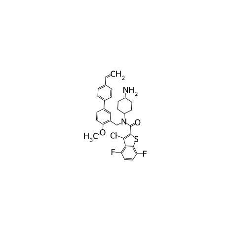 C=Cc1ccc(-c2ccc(OC)c(CN(C(=O)c3sc4c(F)ccc(F)c4c3Cl)C3CCC(N)CC3)c2)cc1